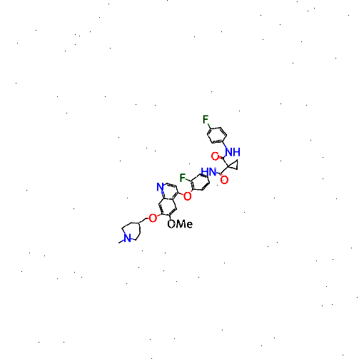 COc1cc2c(Oc3ccc(NC(=O)C4(C(=O)Nc5ccc(F)cc5)CC4)cc3F)ccnc2cc1OCC1CCN(C)CC1